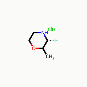 CC1OCCN[C@@H]1F.Cl